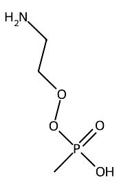 CP(=O)(O)OOCCN